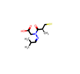 CC(C)/C=N\N(CC(=O)O)C(=O)[C@H](C)CS